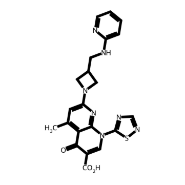 Cc1cc(N2CC(CNc3ccccn3)C2)nc2c1c(=O)c(C(=O)O)cn2-c1ncns1